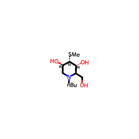 CCCCN1C[C@@H](O)[C@H](SC)[C@H](O)C1CO